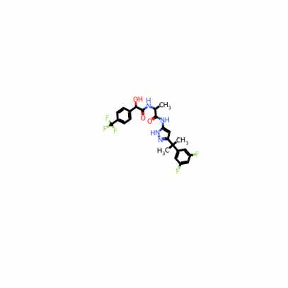 CC(NC(=O)C(O)c1ccc(C(F)(F)F)cc1)C(=O)Nc1cc(C(C)(C)c2cc(F)cc(F)c2)n[nH]1